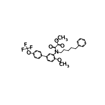 COC(=O)C(=O)N(CCCCCc1ccccc1)c1cc(-c2ccc(OC(F)(F)F)cc2)ccc1OC